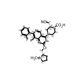 CN1CCC[C@H]1COc1nc(N2CCN(C(=O)O)[C@@H](CC#N)C2)c2cnc(-c3ccccc3F)c(F)c2n1